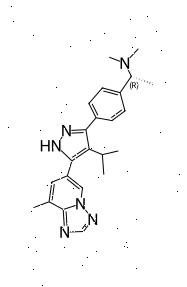 Cc1cc(-c2[nH]nc(-c3ccc([C@@H](C)N(C)C)cc3)c2C(C)C)cn2ncnc12